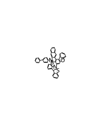 c1ccc(-c2ccc(N3B4c5cccc6c5N(c5cc7oc8ccccc8c7c(c54)-c4cc5ccccc5cc43)C3Sc4ccccc4C63)cc2)cc1